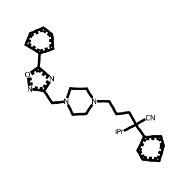 CC(C)C(C#N)(CCCN1CCN(Cc2noc(-c3ccccc3)n2)CC1)c1ccccc1